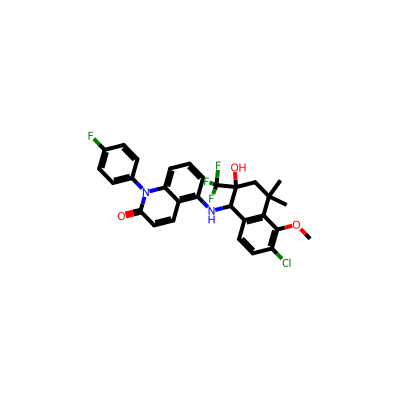 COc1c(Cl)ccc2c1C(C)(C)CC(O)(C(F)(F)F)C2Nc1cccc2c1ccc(=O)n2-c1ccc(F)cc1